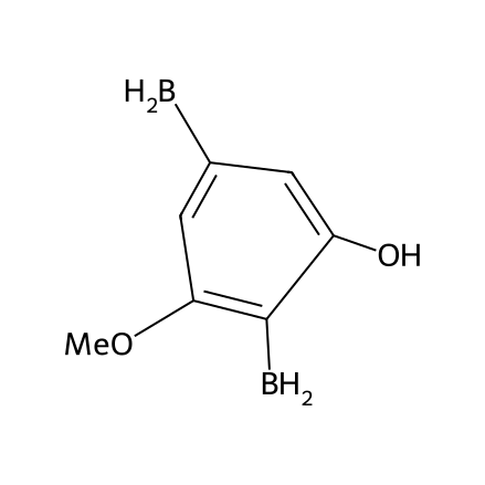 Bc1cc(O)c(B)c(OC)c1